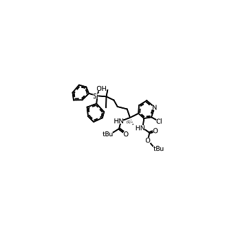 CC(C)(C)OC(=O)Nc1c([C@](C)(CCCC(C)(C)[Si](O)(c2ccccc2)c2ccccc2)NC(=O)C(C)(C)C)ccnc1Cl